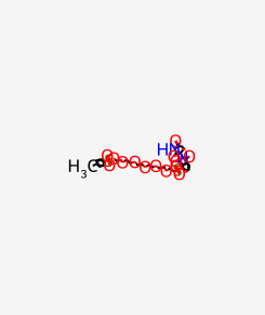 Cc1ccc(S(=O)(=O)OCCOCCOCCOCCOCCOCCS(=O)(=O)c2cccc3c2C(=O)N(C2CCC(=O)NC2=O)C3=O)cc1